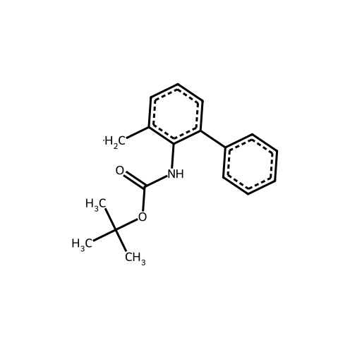 [CH2]c1cccc(-c2ccccc2)c1NC(=O)OC(C)(C)C